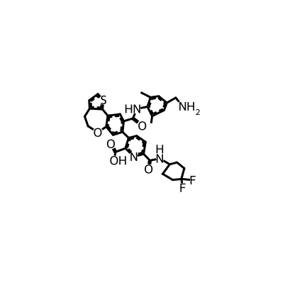 Cc1cc(CN)cc(C)c1NC(=O)c1cc2c(cc1-c1ccc(C(=O)NC3CCC(F)(F)CC3)nc1C(=O)O)OCCc1ccsc1-2